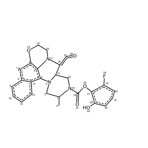 CC1CN2c3c4c(nc5ccccc35)OCCN4C(=C=O)C2CN1C(=O)Oc1c(O)cccc1F